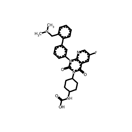 CN(C)Cc1ccccc1-c1cccc(-n2c(=O)n(C3CCC(NC(=O)O)CC3)c(=O)c3cc(F)cnc32)c1